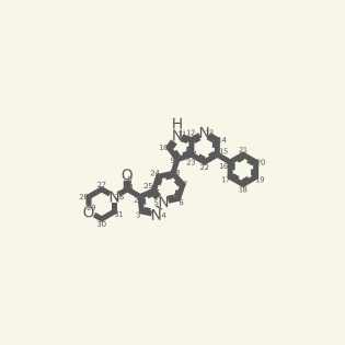 O=C(c1cnn2ccc(-c3c[nH]c4ncc(-c5ccccc5)cc34)cc12)N1CCOCC1